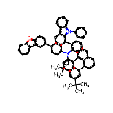 CC(C)(C)c1cc(-c2cccc3cccc(-c4ccccc4N(c4ccc(-c5ccc6oc7ccccc7c6c5)cc4)c4ccccc4-c4cccc5c6ccccc6n(-c6ccccc6)c45)c23)cc(C(C)(C)C)c1